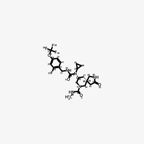 CNC(=O)N1C[C@H](N(C(=O)NCc2ccc(OC(F)(F)F)cc2F)C2CC2)C[C@@]2(CNC(=O)C2)C1